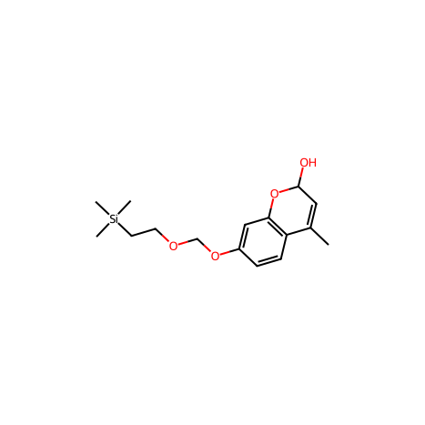 CC1=CC(O)Oc2cc(OCOCC[Si](C)(C)C)ccc21